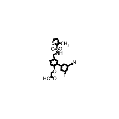 Cc1ccsc1S(=O)(=O)NCc1ccc(OCC(=O)O)c(-c2cc(F)cc(C#N)c2)c1